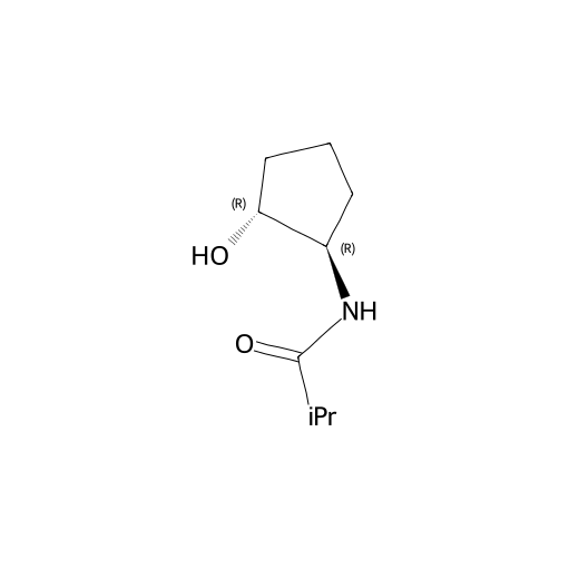 CC(C)C(=O)N[C@@H]1CCC[C@H]1O